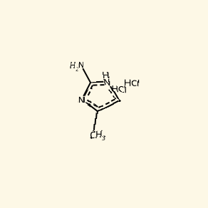 Cc1c[nH]c(N)n1.Cl.Cl